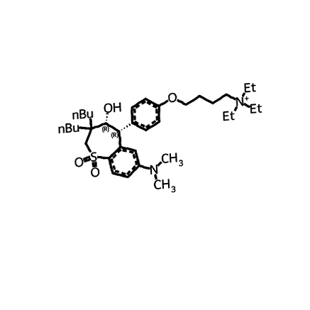 CCCCC1(CCCC)CS(=O)(=O)c2ccc(N(C)C)cc2[C@@H](c2ccc(OCCCC[N+](CC)(CC)CC)cc2)[C@H]1O